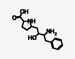 NC(Cc1ccccc1)C(O)CC1CCC(C(=O)O)N1